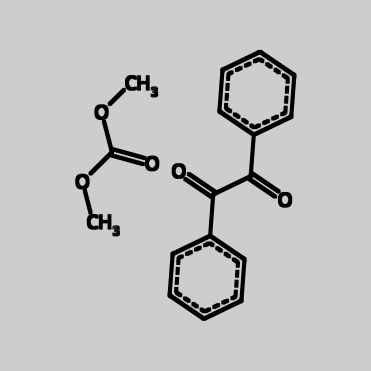 COC(=O)OC.O=C(C(=O)c1ccccc1)c1ccccc1